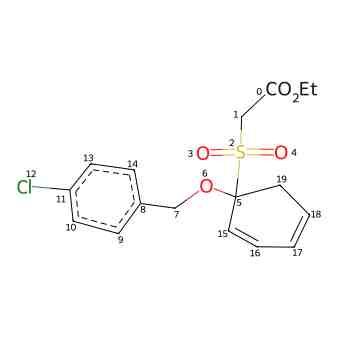 CCOC(=O)CS(=O)(=O)C1(OCc2ccc(Cl)cc2)C=CC=CC1